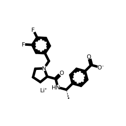 C[C@H](NC(=O)C1CCCN1Cc1ccc(F)c(F)c1)c1ccc(C(=O)[O-])cc1.[Li+]